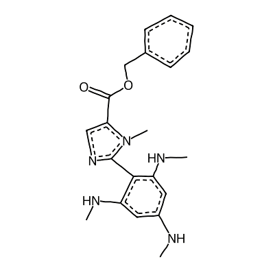 CNc1cc(NC)c(-c2ncc(C(=O)OCc3ccccc3)n2C)c(NC)c1